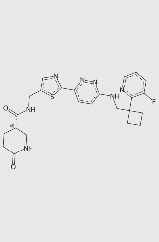 O=C1CC[C@H](C(=O)NCc2cnc(-c3ccc(NCC4(c5ncccc5F)CCC4)nn3)s2)CN1